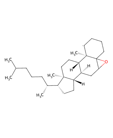 CC(C)CCC[C@@H](C)[C@H]1CC[C@H]2[C@@H]3CC4OC45CCC[CH][C@]5(C)[C@H]3CC[C@]12C